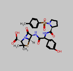 Cc1ccc(S(=O)(=O)N2CCC[C@H]2C(=O)NC(C(=O)N[C@@H]2C(=O)N3[C@@H]2SC(C)(C)[C@@H]3C(=O)O)c2ccc(O)cc2)cc1